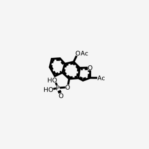 CC(=O)Oc1c2ccccc2c(OP(=O)(O)O)c2cc(C(C)=O)oc12